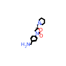 NCc1ccc(N2C[C@@H](CN3CCCCC3)OC2=O)cc1